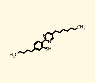 CCCCCCCc1cnc(-c2ccc(CCCCC)cc2S)nc1